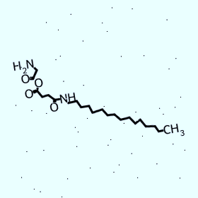 CCCCCCCCCCCCCCCCNC(=O)CCC(=O)OC(=O)CN